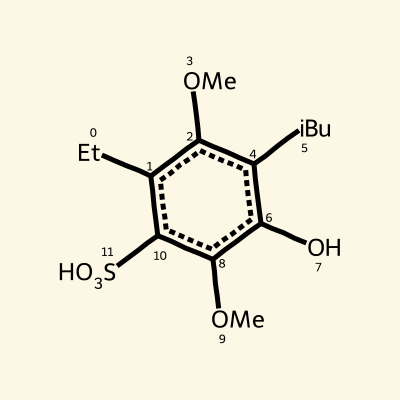 CCc1c(OC)c(C(C)CC)c(O)c(OC)c1S(=O)(=O)O